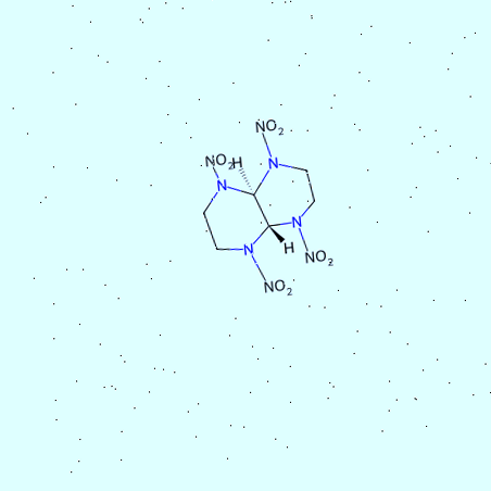 O=[N+]([O-])N1CCN([N+](=O)[O-])[C@H]2[C@H]1N([N+](=O)[O-])CCN2[N+](=O)[O-]